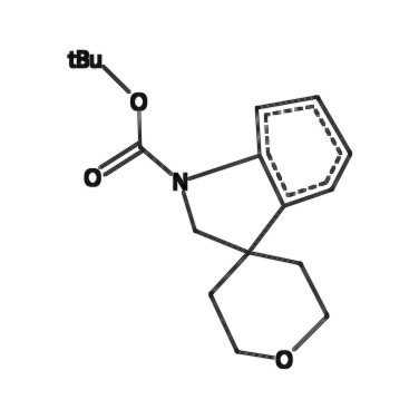 CC(C)(C)OC(=O)N1CC2(CCOCC2)c2ccccc21